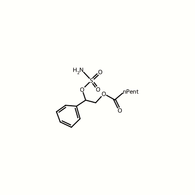 CCCCCC(=O)OCC(OS(N)(=O)=O)c1ccccc1